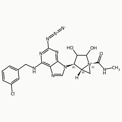 CNC(=O)[N@@+]12C[C@@H]1[C@@H](n1cnc3c(NCc4cccc(Cl)c4)nc(N=[N+]=[N-])nc31)C(O)C2O